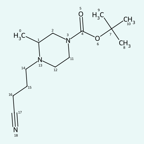 CC1CN(C(=O)OC(C)(C)C)CCN1CCCC#N